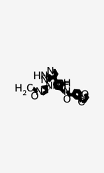 C=CC(=O)N1CC[C@@H](Nc2n[nH]c3nccc(-c4ccc(CNC(=O)c5ccc6c(c5)OCCO6)c(F)c4)c23)C1